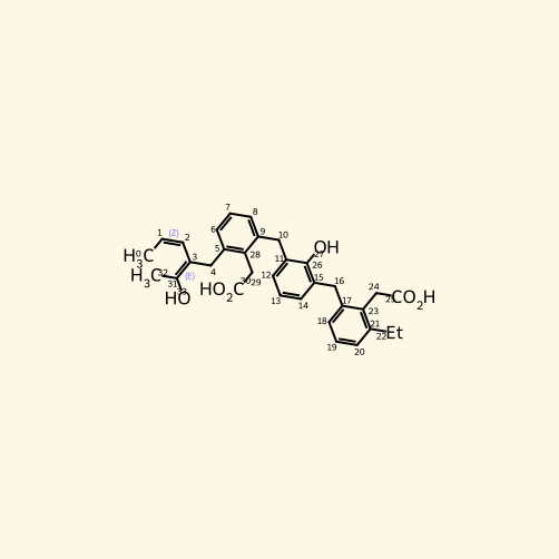 C/C=C\C(Cc1cccc(Cc2cccc(Cc3cccc(CC)c3CC(=O)O)c2O)c1CC(=O)O)=C(/C)O